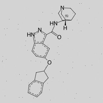 O=C(N[C@@H]1CN2CCC1CC2)c1n[nH]c2ccc(OC3Cc4ccccc4C3)cc12